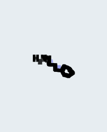 N/N=C/C=C/c1ccccc1